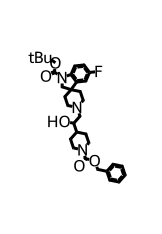 CC(C)(C)OC(=O)N1CC2(CCN(CC(O)C3CCN(C(=O)OCc4ccccc4)CC3)CC2)c2cc(F)ccc21